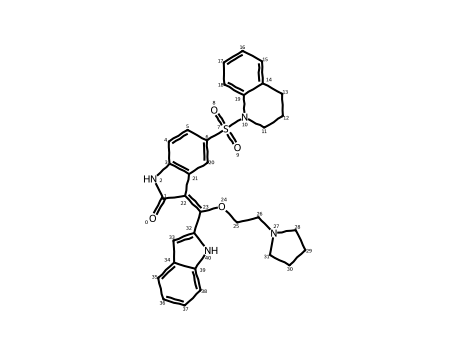 O=C1Nc2ccc(S(=O)(=O)N3CCCc4ccccc43)cc2C1=C(OCCN1CCCC1)c1cc2ccccc2[nH]1